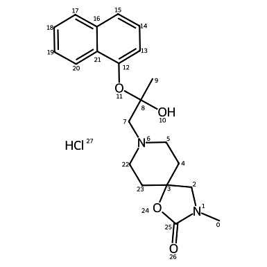 CN1CC2(CCN(CC(C)(O)Oc3cccc4ccccc34)CC2)OC1=O.Cl